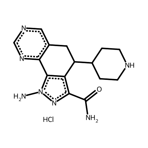 Cl.NC(=O)c1nn(N)c2c1C(C1CCNCC1)Cc1cncnc1-2